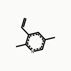 C=Cc1cc(C)cnc1C